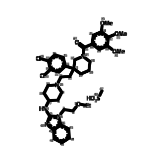 CCOCCn1c(NC2CCN(CCC3(c4ccc(Cl)c(Cl)c4)CCCN(C(=O)c4cc(OC)c(OC)c(OC)c4)C3)CC2)nc2ccccc21.CS(=O)(=O)O